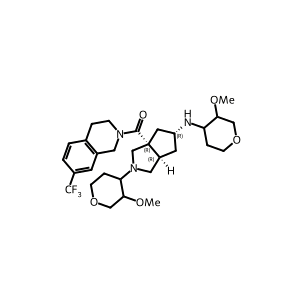 COC1COCCC1N[C@@H]1C[C@H]2CN(C3CCOCC3OC)C[C@@]2(C(=O)N2CCc3ccc(C(F)(F)F)cc3C2)C1